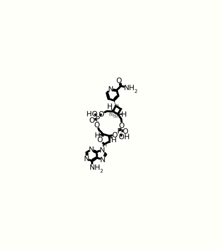 NC(=O)c1cc([C@@H]2C[C@@H]3COP(=O)(O)O[C@H]4C[C@H](n5cnc6c(N)ncnc65)O[C@@H]4COP(=O)(O)OC[C@H]32)ccn1